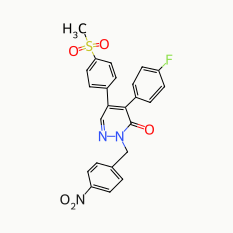 CS(=O)(=O)c1ccc(-c2cnn(Cc3ccc([N+](=O)[O-])cc3)c(=O)c2-c2ccc(F)cc2)cc1